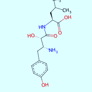 CC(C)C[C@H](NC(=O)[C@@H](O)[C@H](N)Cc1ccc(O)cc1)C(=O)O